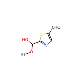 CCOC(O)c1ncc(C=O)s1